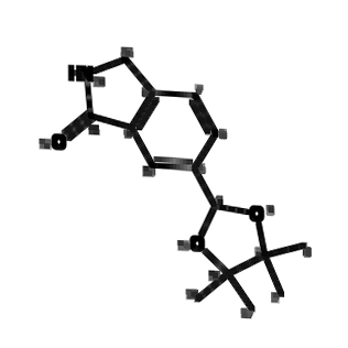 CC1(C)OC(c2ccc3c(c2)C(=O)NC3)OC1(C)C